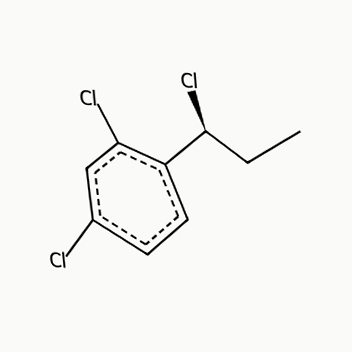 CC[C@H](Cl)c1ccc(Cl)cc1Cl